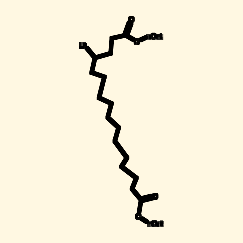 CCCCCCCCOC(=O)CCCCCCCCCCCC(CC)CCC(=O)OCCCCCCCC